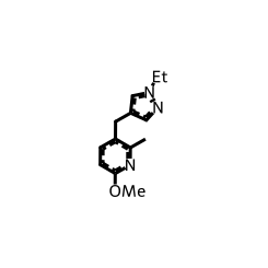 CCn1cc(Cc2ccc(OC)nc2C)cn1